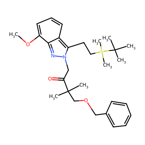 COc1cccc2c(CCS(C)(C)C(C)(C)C)n(CC(=O)C(C)(C)COCc3ccccc3)nc12